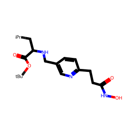 CC(C)CC(NCc1ccc(CCC(=O)NO)nc1)C(=O)OC(C)(C)C